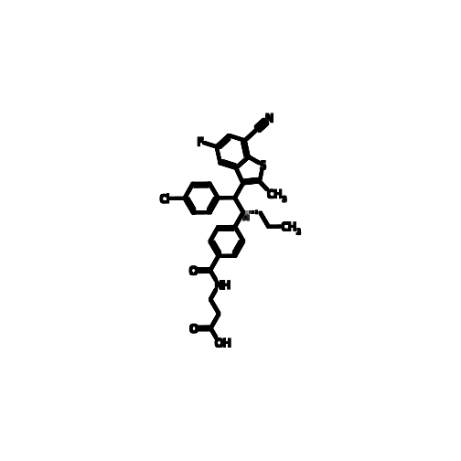 CCC[C@H](c1ccc(C(=O)NCCC(=O)O)cc1)C(c1ccc(Cl)cc1)c1c(C)sc2c(C#N)cc(F)cc12